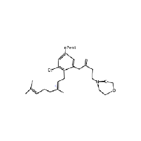 C=C(CCN1CCOCC1)Cc1cc(CCCCC)cc(CC)c1C/C=C(\C)CCC=C(C)C